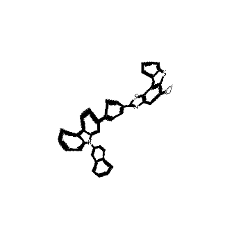 Clc1cc2nc(-c3ccc(-c4ccc5c6ccccc6n(-c6ccc7ccccc7c6)c5c4)cc3)sc2c2c1sc1ccccc12